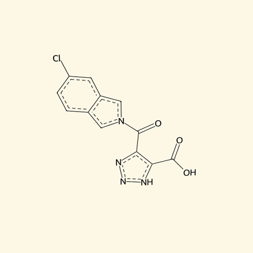 O=C(O)c1[nH]nnc1C(=O)n1cc2ccc(Cl)cc2c1